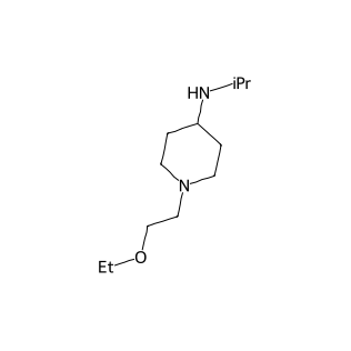 CCOCCN1CCC(NC(C)C)CC1